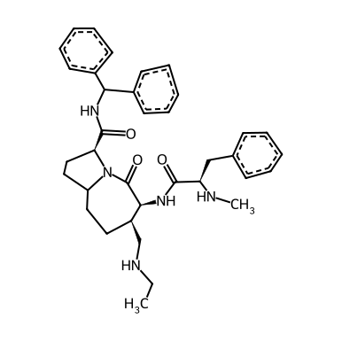 CCNC[C@H]1CCC2CC[C@@H](C(=O)NC(c3ccccc3)c3ccccc3)N2C(=O)[C@H]1NC(=O)[C@@H](Cc1ccccc1)NC